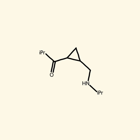 CC(C)NCC1CC1C(=O)C(C)C